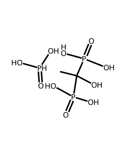 CC(O)(P(=O)(O)O)P(=O)(O)O.O=[PH](O)O